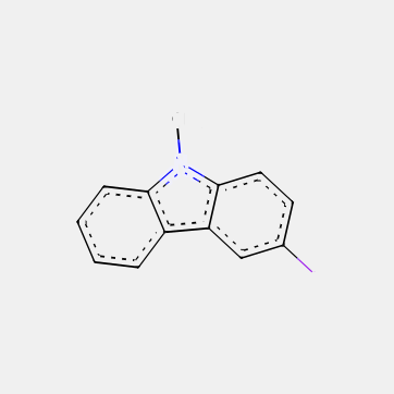 Cn1c2ccccc2c2cc(I)ccc21